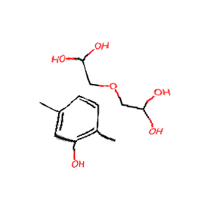 Cc1ccc(C)c(O)c1.OC(O)COCC(O)O